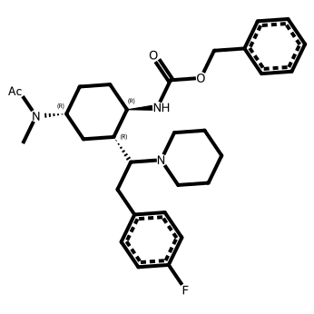 CC(=O)N(C)[C@@H]1CC[C@@H](NC(=O)OCc2ccccc2)[C@H](C(Cc2ccc(F)cc2)N2CCCCC2)C1